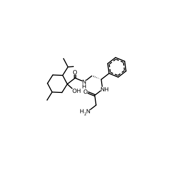 CC1CCC(C(C)C)C(O)(C(=O)NC[C@@H](NC(=O)CN)c2ccccc2)C1